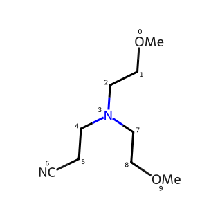 COCCN(CCC#N)CCOC